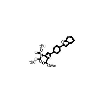 COC(=O)c1sc(-c2ccc(-c3cc4ccccc4o3)cc2)cc1N(C(=O)OC(C)(C)C)C(=O)OC(C)(C)C